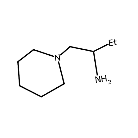 CCC(N)CN1CCCCC1